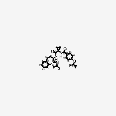 Cc1cn2c(n1)[C@H](NC(=O)C1(NC(=O)c3ccc(OC(F)F)cc3)CC1)CCc1ccccc1-2